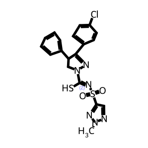 Cn1ncc(S(=O)(=O)/N=C(\S)N2CC(c3ccccc3)C(c3ccc(Cl)cc3)=N2)n1